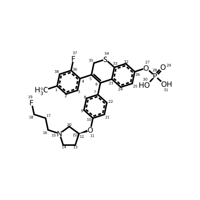 Cc1ccc(C2=C(c3ccc(O[C@H]4CCN(CCCF)C4)cc3)c3ccc(OP(=O)(O)O)cc3SC2)c(F)c1